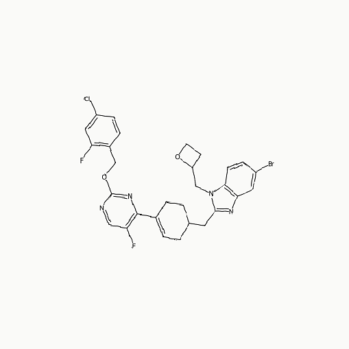 Fc1cc(Cl)ccc1COc1ncc(F)c(C2=CCC(Cc3nc4cc(Br)ccc4n3CC3CCO3)CC2)n1